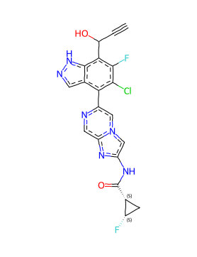 C#CC(O)c1c(F)c(Cl)c(-c2cn3cc(NC(=O)[C@@H]4C[C@@H]4F)nc3cn2)c2cn[nH]c12